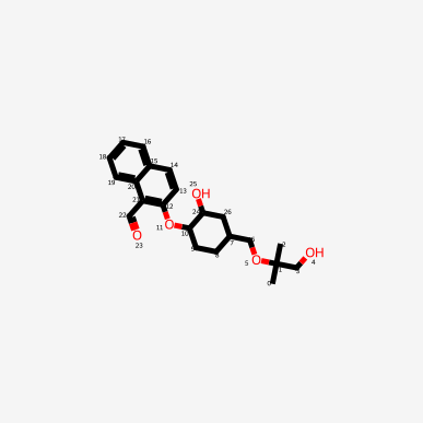 CC(C)(CO)OCC1CCC(Oc2ccc3ccccc3c2C=O)C(O)C1